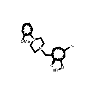 CCCOc1cc(C(C)C)ccc(CN2CCN(c3ccccc3OC)CC2)c1=O